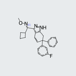 CO/N=C(/c1n[nH]c2c1C=CC(c1ccccc1)(c1cccc(F)c1)C2)C1CCC1